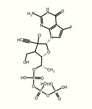 C#CC1(Cl)C(CO)[C@@H]([C@H](C)OP(=O)(O)OP(=O)(O)OP(=O)(O)O)O[C@H]1n1cc(F)c2c(=O)[nH]c(N)nc21